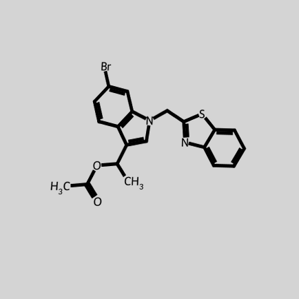 CC(=O)OC(C)c1cn(Cc2nc3ccccc3s2)c2cc(Br)ccc12